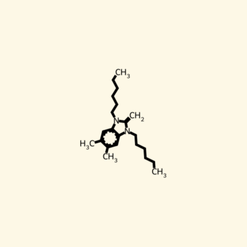 C=C1N(CCCCCC)c2cc(C)c(C)cc2N1CCCCCC